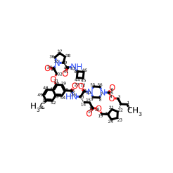 CCCCOC(=O)N1CCN(C(=O)[C@H](CCC(=O)OCC2CCCC2)NC(=O)c2cc(OCC(=O)N3CCC[C@H]3C(=O)NC3CCC3)c3ccc(C)cc3c2)CC1